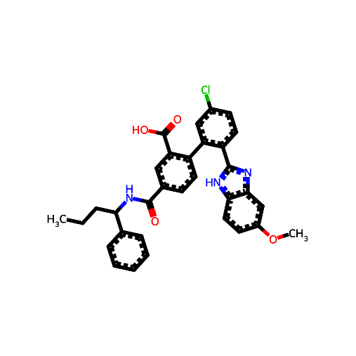 CCCC(NC(=O)c1ccc(-c2cc(Cl)ccc2-c2nc3cc(OC)ccc3[nH]2)c(C(=O)O)c1)c1ccccc1